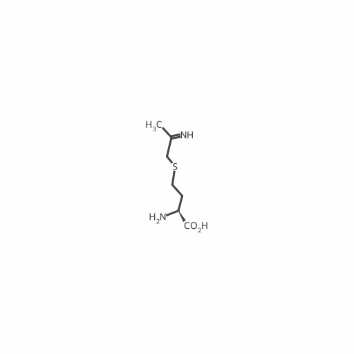 CC(=N)CSCC[C@H](N)C(=O)O